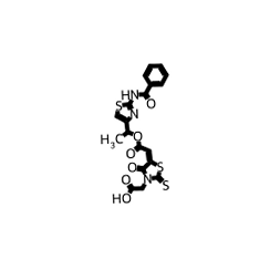 CC(OC(=O)C=C1SC(=S)N(CC(=O)O)C1=O)c1csc(NC(=O)c2ccccc2)n1